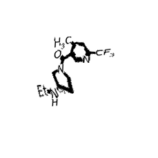 CCN[C@H]1CCN(C(=O)c2cnc(C(F)(F)F)cc2C)C1